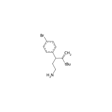 C=C(C(CCN)c1ccc(Br)cc1)C(C)(C)C